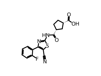 N#Cc1sc(NC(=O)[C@@H]2CC[C@H](C(=O)O)C2)nc1-c1ccccc1F